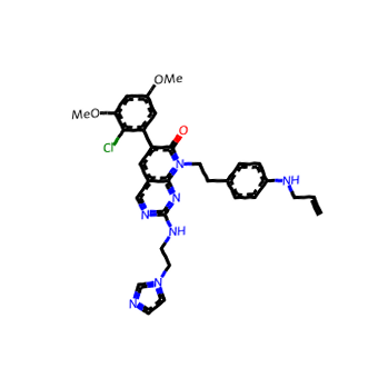 C=CCNc1ccc(CCn2c(=O)c(-c3cc(OC)cc(OC)c3Cl)cc3cnc(NCCn4ccnc4)nc32)cc1